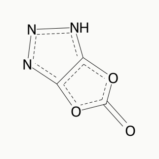 O=c1oc2nn[nH]c2o1